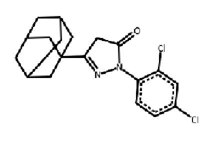 O=C1CC(C23CC4CC(CC(C4)C2)C3)=NN1c1ccc(Cl)cc1Cl